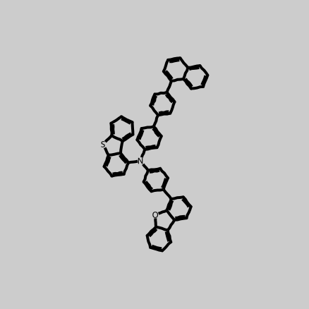 c1ccc2c(-c3ccc(-c4ccc(N(c5ccc(-c6cccc7c6oc6ccccc67)cc5)c5cccc6sc7ccccc7c56)cc4)cc3)cccc2c1